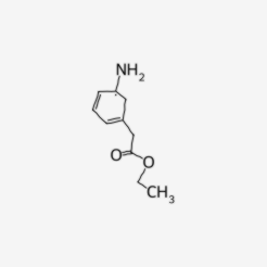 CCOC(=O)CC1=CC=C[C](N)C1